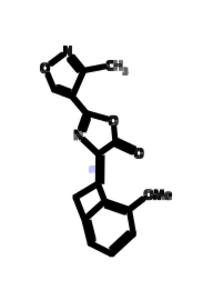 COc1cccc2c1/C(=C1/N=C(c3conc3C)OC1=O)C2